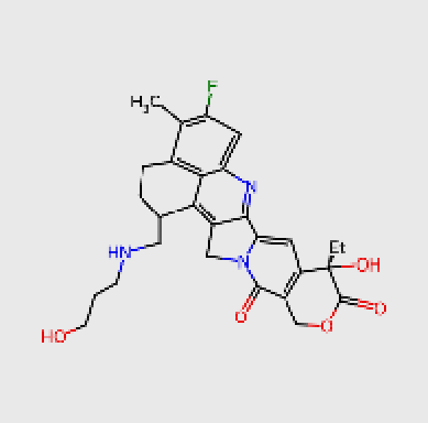 CC[C@@]1(O)C(=O)OCc2c1cc1n(c2=O)Cc2c-1nc1cc(F)c(C)c3c1c2C(CNCCCO)CC3